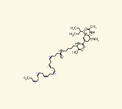 CC/C=C\C/C=C\C/C=C\C/C=C\C/C=C\C/C=C\CCC(=O)NCCCCC(NC(=O)C1=C[C@@H](OC(CC)CC)[C@H](NC(C)=O)[C@@H](N)C1)C(=O)O